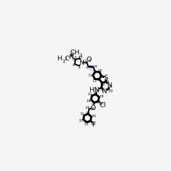 CN(C)[C@H]1CCN(C(=O)/C=C/c2ccc3c(c2)sc2ncnc(Nc4ccc(OCc5cccc(F)c5)c(Cl)c4)c23)C1